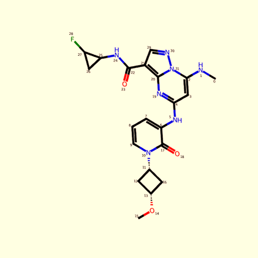 CNc1cc(Nc2cccn([C@H]3C[C@@H](OC)C3)c2=O)nc2c(C(=O)NC3CC3F)cnn12